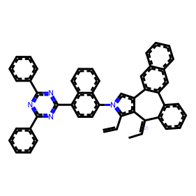 C=Cc1c2c(cn1-c1ccc(-c3nc(-c4ccccc4)nc(-c4ccccc4)n3)c3ccccc13)-c1cc3ccccc3cc1-c1ccccc1/C2=C/C